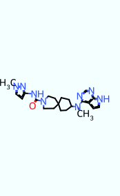 CN(c1ncnc2[nH]ccc12)C1CCC2(CC1)CCN(C(=O)Nc1ccn(C)n1)CC2